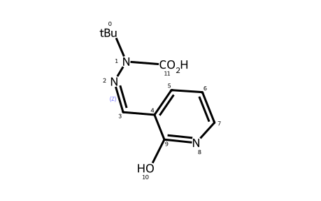 CC(C)(C)N(/N=C\c1cccnc1O)C(=O)O